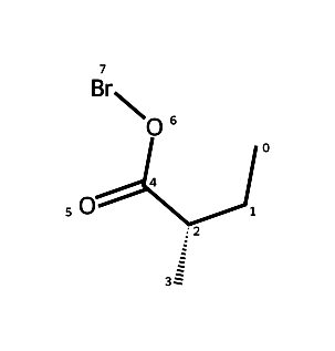 CC[C@H](C)C(=O)OBr